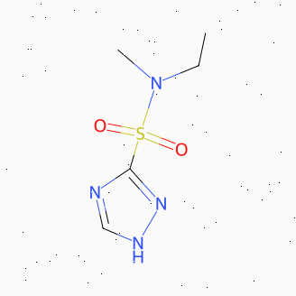 CCN(C)S(=O)(=O)c1nc[nH]n1